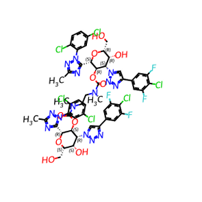 Cc1nc([C@H]2O[C@@H](CO)[C@@H](O)[C@@H](n3cc(-c4cc(F)c(Cl)c(F)c4)nn3)[C@@H]2OC(=O)N(C)CCN(C)C(=O)O[C@@H]2[C@@H](n3cc(-c4cc(F)c(Cl)c(F)c4)nn3)[C@@H](O)[C@@H](CO)O[C@H]2c2nc(C)nn2-c2cc(Cl)ccc2Cl)n(-c2cc(Cl)ccc2Cl)n1